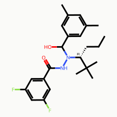 CCC[C@@H](N(NC(=O)c1cc(F)cc(F)c1)C(O)c1cc(C)cc(C)c1)C(C)(C)C